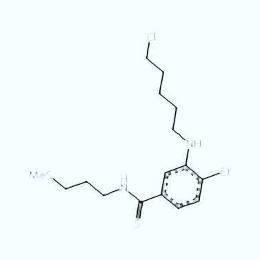 CCc1ccc(C(=S)NCCCSC)cc1NCCCCCCl